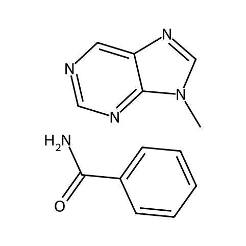 Cn1cnc2cncnc21.NC(=O)c1ccccc1